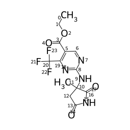 CCOC(=O)c1cnc(NC2(C)CC(=O)NC2=O)nc1C(F)(F)F